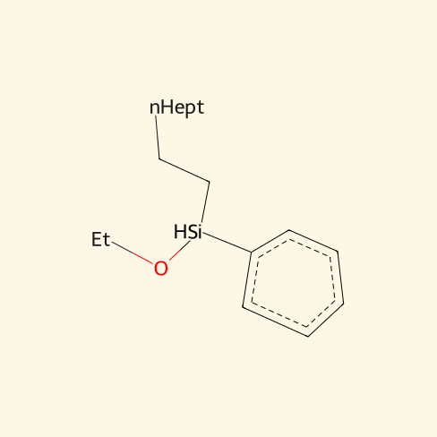 CCCCCCCCC[SiH](OCC)c1ccccc1